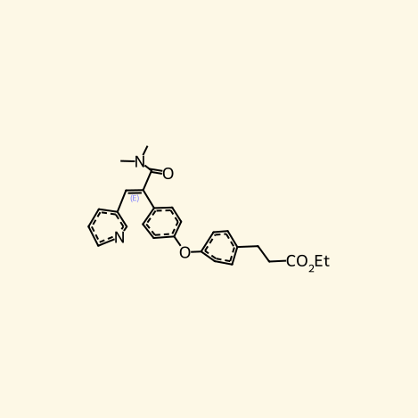 CCOC(=O)CCc1ccc(Oc2ccc(/C(=C\c3cccnc3)C(=O)N(C)C)cc2)cc1